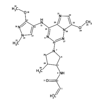 C=CC(=O)NC1CN(c2nc(Nc3cn(C)nc3OC)c3ncc(OC)n3n2)CC1C